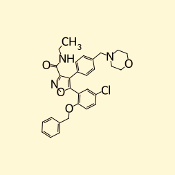 CCNC(=O)c1noc(-c2cc(Cl)ccc2OCc2ccccc2)c1-c1ccc(CN2CCOCC2)cc1